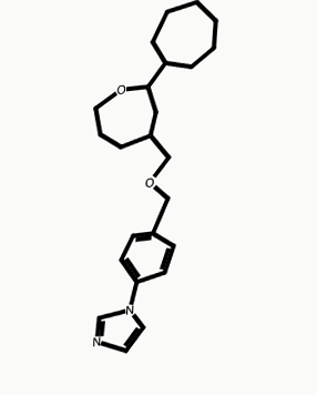 c1cn(-c2ccc(COCC3CCCOC(C4CCCCCC4)C3)cc2)cn1